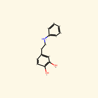 Oc1ccc(CCNc2ccccc2)cc1O